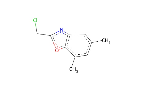 Cc1cc(C)c2oc(CCl)nc2c1